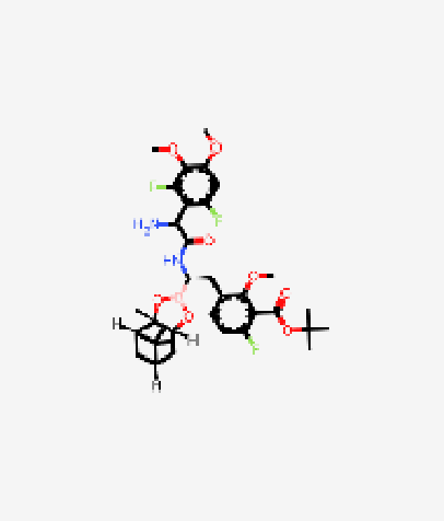 COc1cc(F)c(C(N)C(=O)N[C@@H](Cc2ccc(F)c(C(=O)OC(C)(C)C)c2OC)B2O[C@@H]3C[C@@H]4C[C@@H](C4(C)C)[C@]3(C)O2)c(F)c1OC